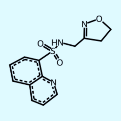 O=S(=O)(NCC1=NOCC1)c1cccc2cccnc12